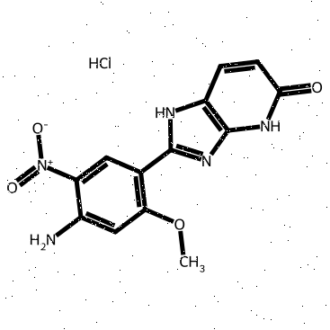 COc1cc(N)c([N+](=O)[O-])cc1-c1nc2[nH]c(=O)ccc2[nH]1.Cl